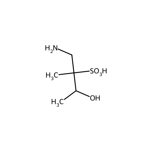 CC(O)C(C)(CN)S(=O)(=O)O